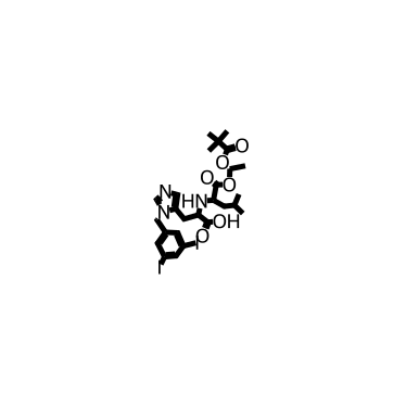 CC(C)CC(NC(Cc1cncn1Cc1cc(I)cc(I)c1)C(=O)O)C(=O)OC(C)OC(=O)C(C)(C)C